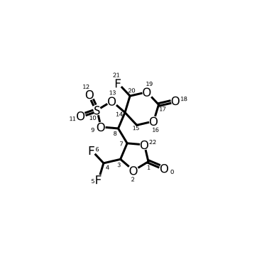 O=C1OC(C(F)F)C(C2OS(=O)(=O)OC23COC(=O)OC3F)O1